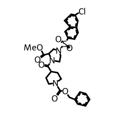 COC(=O)C1CN(S(=O)(=O)c2ccc3cc(Cl)ccc3c2)CCN1C(=O)C1CCN(C(=O)OCc2ccccc2)CC1